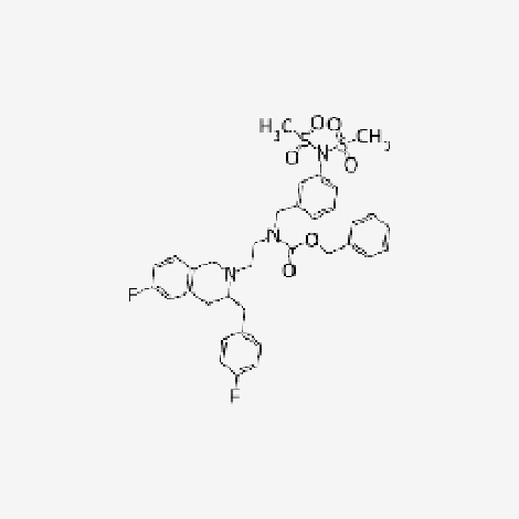 CS(=O)(=O)N(c1cccc(CN(CCN2Cc3ccc(F)cc3CC2Cc2ccc(F)cc2)C(=O)OCc2ccccc2)c1)S(C)(=O)=O